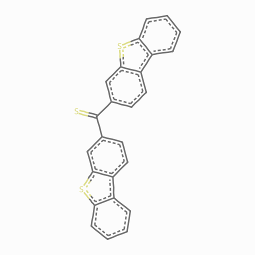 S=C(c1ccc2c(c1)sc1ccccc12)c1ccc2c(c1)sc1ccccc12